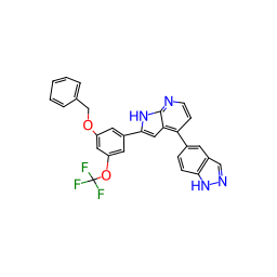 FC(F)(F)Oc1cc(OCc2ccccc2)cc(-c2cc3c(-c4ccc5[nH]ncc5c4)ccnc3[nH]2)c1